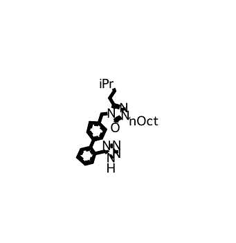 CCCCCCCCn1nc(CCC(C)C)n(Cc2ccc(-c3ccccc3-c3nnn[nH]3)cc2)c1=O